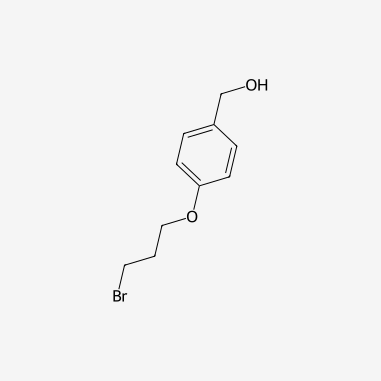 OCc1ccc(OCCCBr)cc1